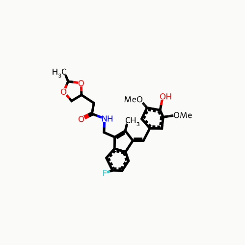 COc1cc(C=C2C(C)=C(CNC(=O)CC3COC(C)O3)c3cc(F)ccc32)cc(OC)c1O